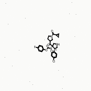 CN(C(=O)Oc1ccc(F)cc1)[C@]1(C(=O)C2CCN(C(=O)C3CC3)C2)CNC[C@H]1c1ccc(Cl)cc1